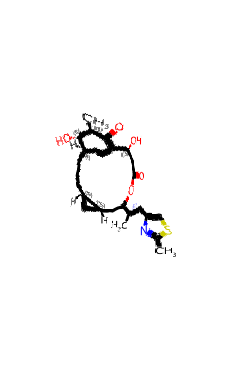 C/C(=C\c1csc(C)n1)C1C[C@@H]2C[C@@H]2CCC[C@@H]2C=C(C(=O)[C@H](C)[C@H]2O)[C@@H](O)CC(=O)O1